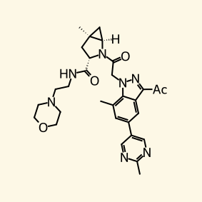 CC(=O)c1nn(CC(=O)N2[C@H](C(=O)NCCN3CCOCC3)C[C@@]3(C)C[C@@H]23)c2c(C)cc(-c3cnc(C)nc3)cc12